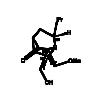 COC[C@@]1(CO)C(=O)C2C[C@H](C(C)C)N1[C@H](C(C)C)C2